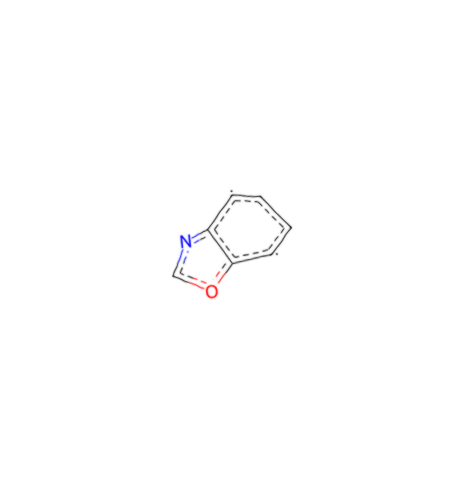 [c]1cc[c]c2ocnc12